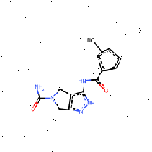 N#Cc1cccc(C(=O)Nc2[nH]nc3c2CN(C(N)=O)C3)c1